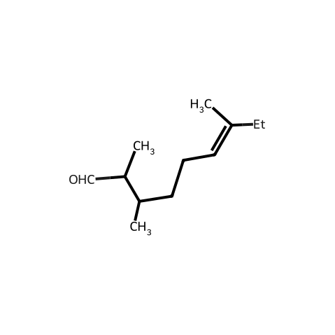 CCC(C)=CCCC(C)C(C)C=O